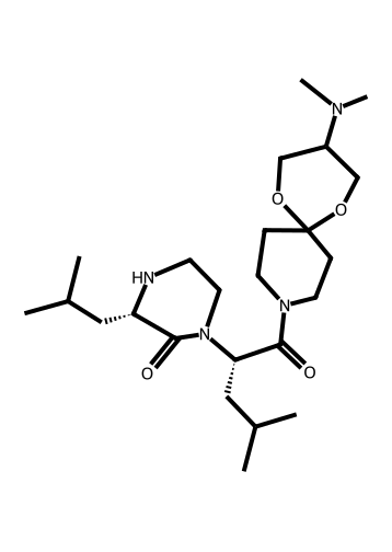 CC(C)C[C@@H]1NCCN([C@@H](CC(C)C)C(=O)N2CCC3(CC2)OCC(N(C)C)CO3)C1=O